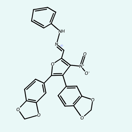 O=[N+]([O-])c1c(/C=N/Nc2ccccc2)oc(-c2ccc3c(c2)OCO3)c1-c1ccc2c(c1)OCO2